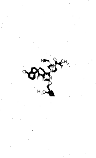 C=C(F)C(=O)N1CCN(c2nc(OCC3C4CC(C4)N3C)nc3c2CC[C@@]2(CCc4c(Cl)cccc42)C3F)C[C@@H]1CC#N